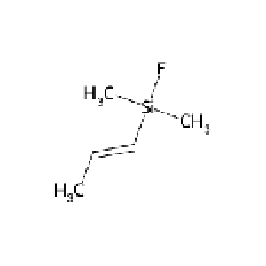 CC=C[Si](C)(C)F